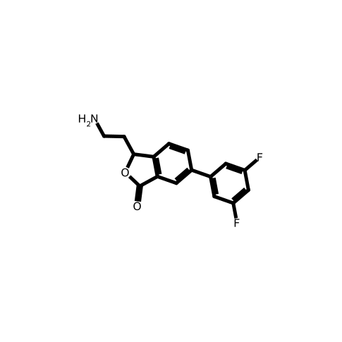 NCCC1OC(=O)c2cc(-c3cc(F)cc(F)c3)ccc21